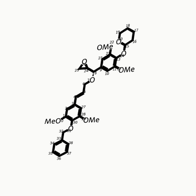 COc1cc(C=CCO[C@@H](c2cc(OC)c(OC3CCCCO3)c(OC)c2)C2CO2)cc(OC)c1OCc1ccccc1